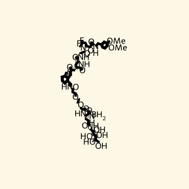 BNC(=O)[C@@H](CCC(=O)NC[C@H](O)[C@@H](O)[C@H](O)[C@H](O)CO)NC(=O)COCCOCCC(=O)NCc1cccc2c1CN(C(=O)C[C@@H]1C[C@@H](C(=O)NCC(=O)N3CC(F)(F)CC3C(=O)C(=O)NCc3ccc(OC)c(OC)c3)NC1=O)C2